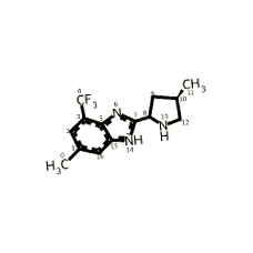 Cc1cc(C(F)(F)F)c2nc(C3C[C@@H](C)CN3)[nH]c2c1